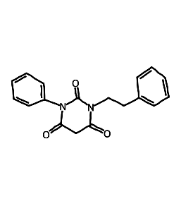 O=C1CC(=O)N(c2ccccc2)C(=O)N1CCc1ccccc1